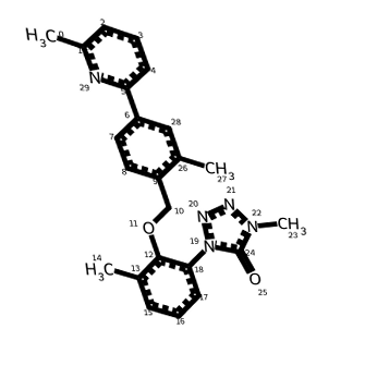 Cc1cccc(-c2ccc(COc3c(C)cccc3-n3nnn(C)c3=O)c(C)c2)n1